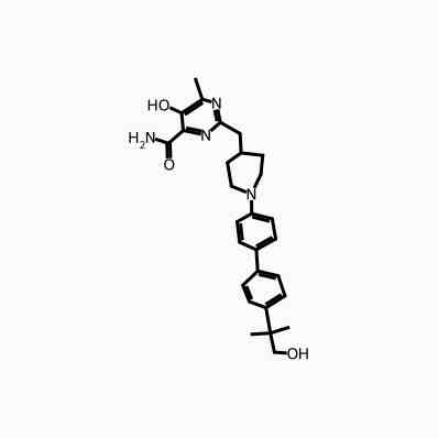 Cc1nc(CC2CCN(c3ccc(-c4ccc(C(C)(C)CO)cc4)cc3)CC2)nc(C(N)=O)c1O